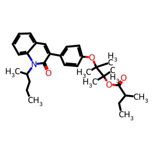 CCCC(C)n1c(=O)c(-c2ccc(OC(C)(C)C(C)(C)OC(=O)C(C)CC)cc2)cc2ccccc21